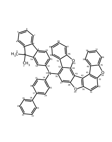 CC1(C)c2ccccc2-c2ccc(N(c3ccc(-c4ccccc4)cc3)c3cc4oc5ccc6oc7ccccc7c6c5c4c4oc5ccccc5c34)cc21